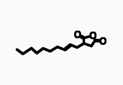 CCCCCCCC=CCC1CC(=O)OC1=O